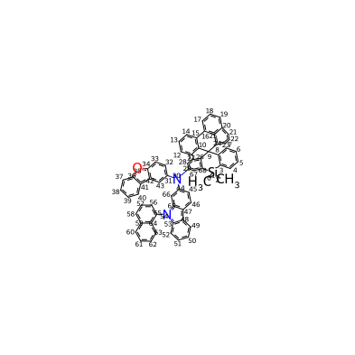 C[Si]1(C)c2ccccc2C2(c3ccccc3-c3cccc4cccc2c34)c2ccc(N(c3ccc4oc5ccccc5c4c3)c3ccc4c5ccccc5n(-c5cccc6ccccc56)c4c3)cc21